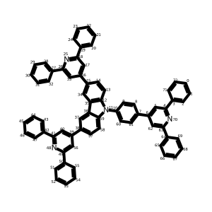 c1ccc(-c2cc(-c3ccc(-n4c5ccc(-c6cc(-c7ccccc7)nc(-c7ccccc7)c6)cc5c5cc(-c6cc(-c7ccccc7)nc(-c7ccccc7)c6)ccc54)cc3)cc(-c3ccccc3)n2)cc1